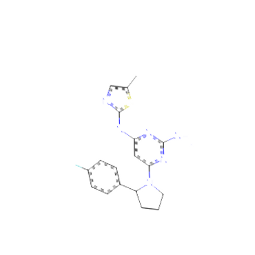 Cc1cnc(Nc2cc(N3CCCC3c3ccc(F)cc3)nc(N)n2)s1